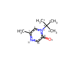 Cc1cn(C(C)(C)C)c(=O)cn1